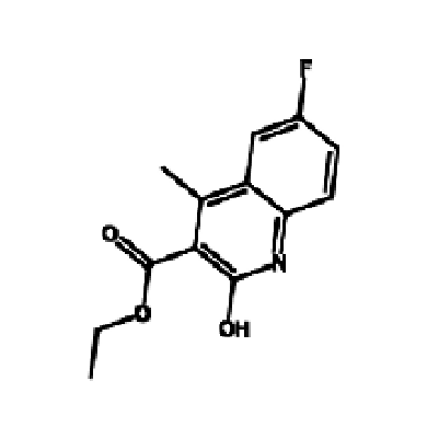 CCOC(=O)c1c(O)nc2ccc(F)cc2c1C